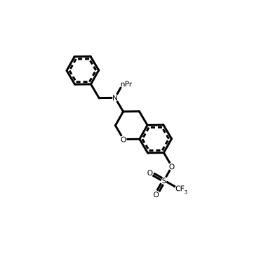 CCCN(Cc1ccccc1)C1COc2cc(OS(=O)(=O)C(F)(F)F)ccc2C1